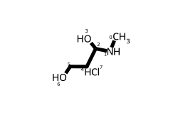 CNC(O)CCO.Cl